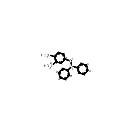 O=C(O)c1ccc(O[SH](c2ccccc2)c2ccccc2)cc1C(=O)O